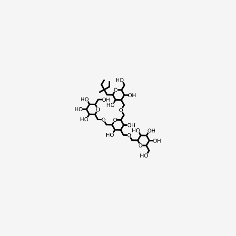 CCC(C)(CC)CC1OC(CO)C(O)C(COCC2OC(COCC3OC(CO)C(O)C(O)C3O)C(O)C(COCC3OC(CO)C(O)C(O)C3O)C2O)C1O